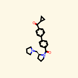 O=C(c1ccc(-c2ccc(C(=O)N3CCC[C@H]3CN3CCCC3)cc2)cc1)C1CC1